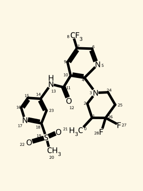 CC1CN(c2ncc(C(F)(F)F)cc2C(=O)Nc2ccnc(S(C)(=O)=O)c2)CCC1(F)F